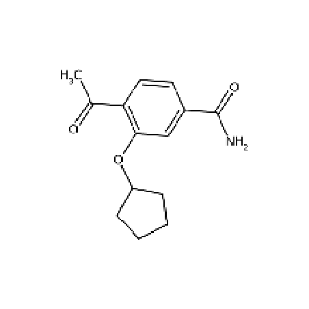 CC(=O)c1ccc(C(N)=O)cc1OC1CCCC1